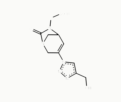 O=C1N2CC(n3cc(CO)nn3)=CC(C2)N1OS(=O)(=O)O